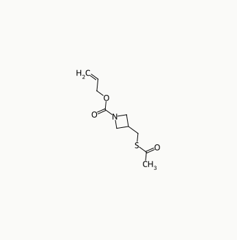 C=CCOC(=O)N1CC(CSC(C)=O)C1